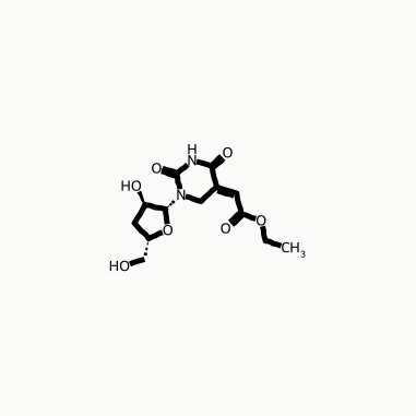 CCOC(=O)C=C1CN([C@@H]2O[C@H](CO)C[C@H]2O)C(=O)NC1=O